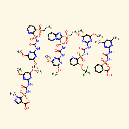 CCS(=O)(=O)c1cccnc1S(=O)(=O)NC(=O)Nc1nc(OC)cc(OC)n1.CCS(=O)(=O)c1nc2ccccn2c1S(=O)(=O)NC(=O)Nc1nc(OC)cc(OC)n1.COc1cc(OC)nc(NC(=O)NS(=O)(=O)c2c(C(=O)O)cnn2C)n1.COc1cc(OC)nc(NC(=O)NS(=O)(=O)c2ncccc2OCC(F)(F)F)n1.Cc1cc(C)nc(NC(=O)NS(=O)(=O)c2ccccc2C(=O)O)n1